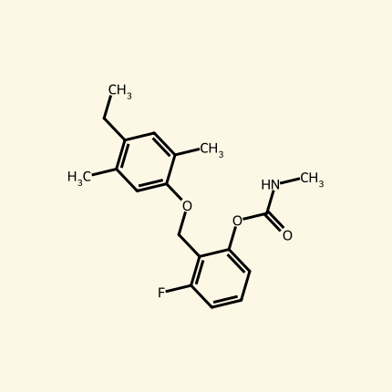 CCc1cc(C)c(OCc2c(F)cccc2OC(=O)NC)cc1C